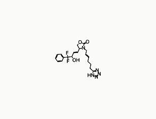 O=C1OCC(C=CC(O)C(F)(F)c2ccccc2)N1CC=CCCCc1nnn[nH]1